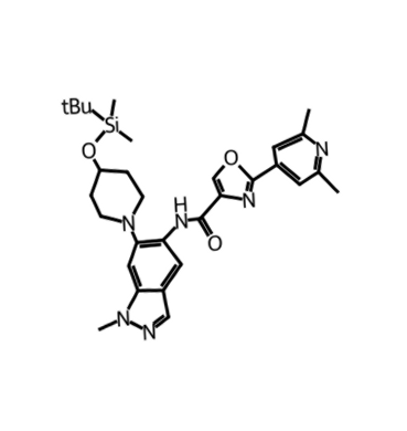 Cc1cc(-c2nc(C(=O)Nc3cc4cnn(C)c4cc3N3CCC(O[Si](C)(C)C(C)(C)C)CC3)co2)cc(C)n1